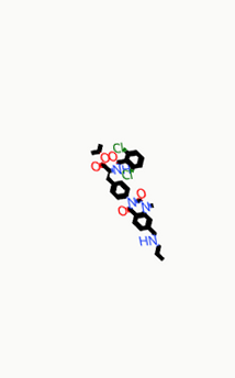 CCCNCc1ccc2c(=O)n(-c3ccc(C[C@H](NC(=O)c4c(Cl)cccc4Cl)C(=O)OC(C)C)cc3)c(=O)n(C)c2c1